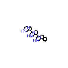 c1ccc2c(c1)CCN1C2CNCC1C1CCCN2C(C3CCN4CCCNCC34)CNCC12